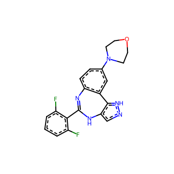 Fc1cccc(F)c1C1=Nc2ccc(N3CCOCC3)cc2-c2[nH]ncc2N1